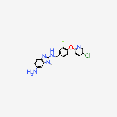 Cn1c(NCc2ccc(Oc3ccc(Cl)cn3)c(F)c2)nc2ccc(N)cc21